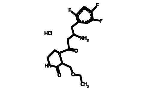 CCOCC1C(=O)NCCN1C(=O)CC(N)Cc1cc(F)c(F)cc1F.Cl